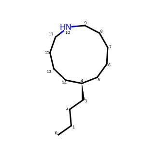 CCCC[C@@H]1CCCCCNCCCC1